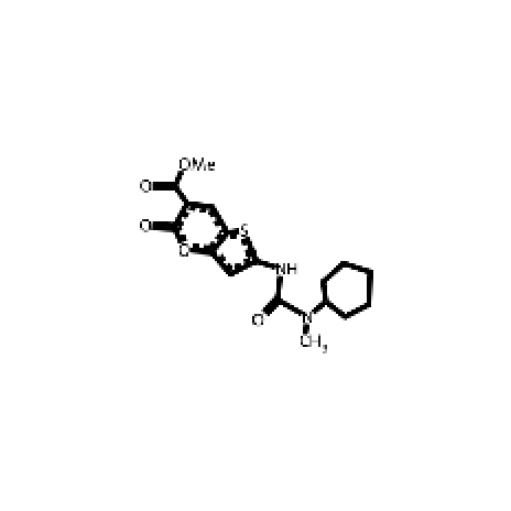 COC(=O)c1cc2sc(NC(=O)N(C)C3CCCCC3)cc2oc1=O